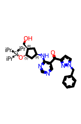 CC(C)[Si](O[C@H]1C[C@H](Nc2ncncc2C(=O)c2ccn(Cc3ccccc3)n2)C[C@@H]1CO)(C(C)C)C(C)C